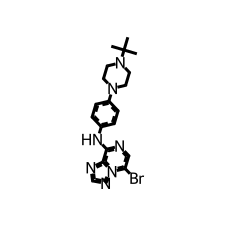 CC(C)(C)N1CCN(c2ccc(Nc3ncc(Br)n4ncnc34)cc2)CC1